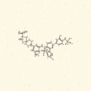 Cc1ccn(-c2cc(-c3ccc(OC(F)(F)F)c(C)c3)ccc2[C@@H](Oc2cc(N3CCC4(CC3)CNC(C(=O)O)C4)nc(N)n2)C(F)(F)F)n1